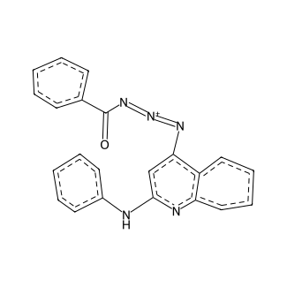 O=C(N=[N+]=Nc1cc(Nc2ccccc2)nc2ccccc12)c1ccccc1